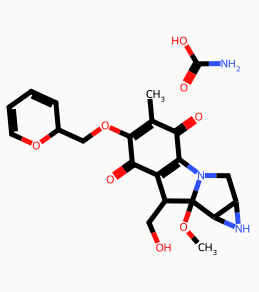 COC12C(CO)C3=C(C(=O)C(C)=C(OCC4C=CC=CO4)C3=O)N1CC1NC12.NC(=O)O